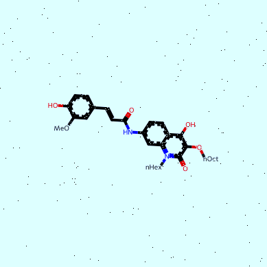 CCCCCCCCOc1c(O)c2ccc(NC(=O)/C=C/c3ccc(O)c(OC)c3)cc2n(CCCCCC)c1=O